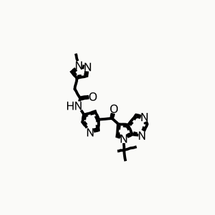 Cn1cc(CC(=O)Nc2cncc(C(=O)c3cn(C(C)(C)C)c4ncncc34)c2)cn1